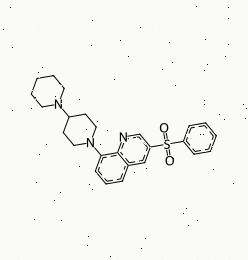 O=S(=O)(c1ccccc1)c1cnc2c(N3CCC(N4CCCCC4)CC3)cccc2c1